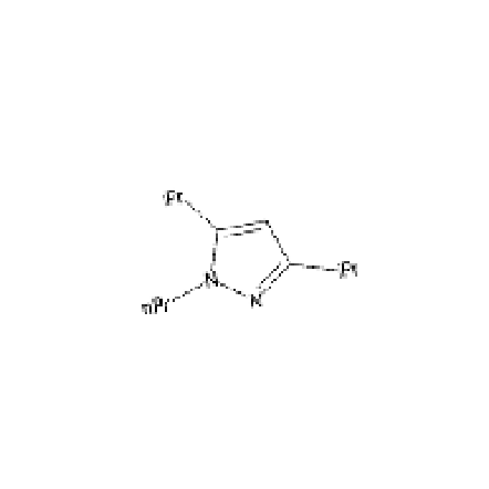 CCCn1nc(C(C)C)cc1C(C)C